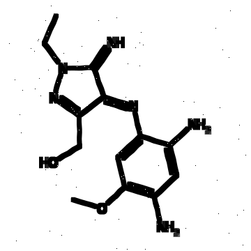 CCN1N=C(CO)C(=Nc2cc(OC)c(N)cc2N)C1=N